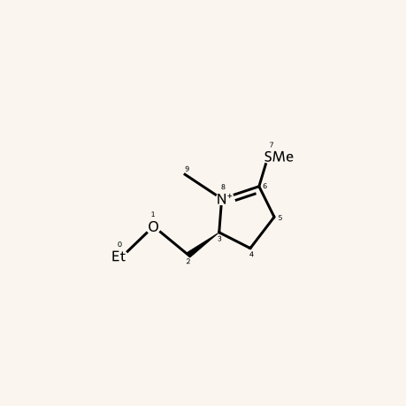 CCOC[C@@H]1CCC(SC)=[N+]1C